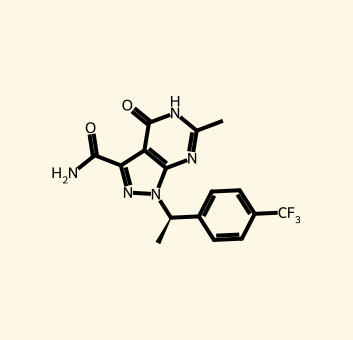 Cc1nc2c(c(C(N)=O)nn2[C@H](C)c2ccc(C(F)(F)F)cc2)c(=O)[nH]1